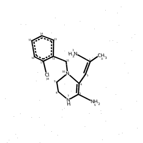 C/C(N)=C/C1=C(N)NCCN1Cc1ccccc1Cl